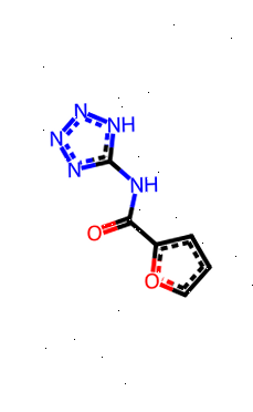 O=C(Nc1nnn[nH]1)c1ccco1